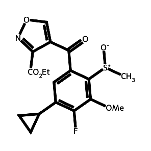 CCOC(=O)c1nocc1C(=O)c1cc(C2CC2)c(F)c(OC)c1[S+](C)[O-]